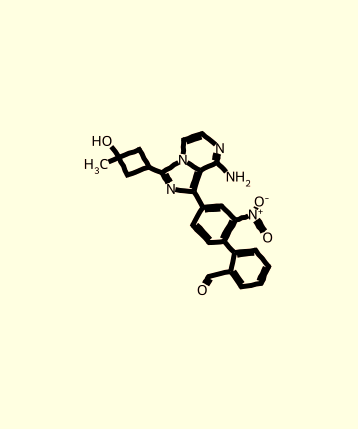 CC1(O)CC(c2nc(-c3ccc(-c4ccccc4C=O)c([N+](=O)[O-])c3)c3c(N)nccn23)C1